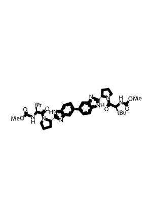 COC(=O)N[C@H](C(=O)N1CCC[C@H]1c1nc2cc(-c3ccc4[nH]c([C@@H]5CCCN5C(=O)[C@@H](NC(=O)OC)C(C)(C)C)nc4c3)ccc2[nH]1)C(C)C